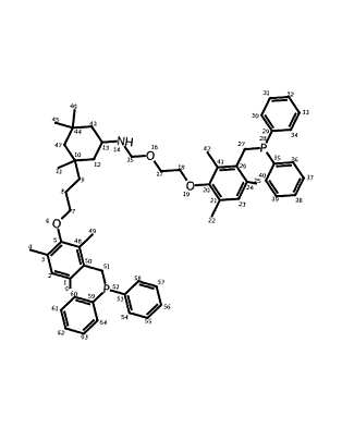 Cc1cc(C)c(OCCCC2(C)CC(NCOCCOc3c(C)cc(C)c(CP(c4ccccc4)c4ccccc4)c3C)CC(C)(C)C2)c(C)c1CP(c1ccccc1)c1ccccc1